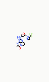 C[C@H]1C(=O)N2CCCc3nc(N[C@H]4CO[C@H](Cn5nccc5C(F)(F)F)C4)nc(c32)N1C